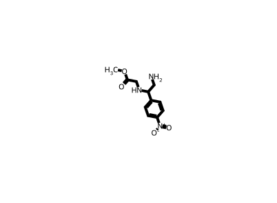 COC(=O)CNC(CN)c1ccc([N+](=O)[O-])cc1